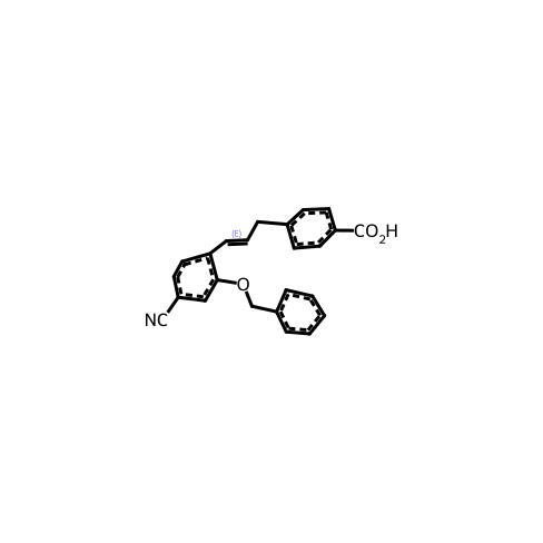 N#Cc1ccc(/C=C/Cc2ccc(C(=O)O)cc2)c(OCc2ccccc2)c1